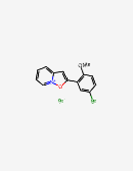 COc1ccc(Br)cc1-c1cc2cccc[n+]2o1.[Br-]